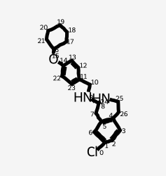 Clc1ccc2c(c1)CC(NCc1ccc(OC3CCCCC3)cc1)NCC2